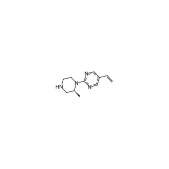 C=Cc1cnc(N2CCNC[C@@H]2C)nc1